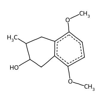 COc1ccc(OC)c2c1CC(C)C(O)C2